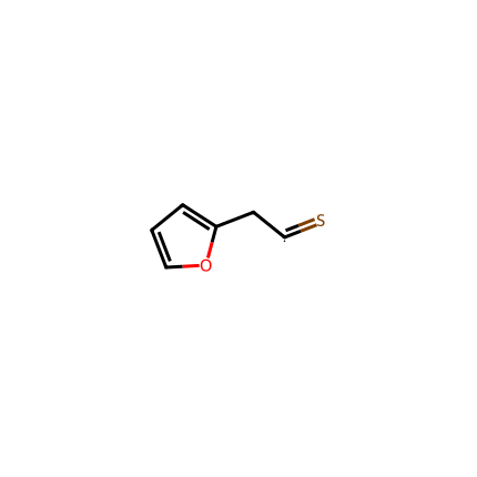 S=[C]Cc1ccco1